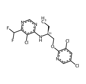 CC[C@@H](COc1ncc(Cl)cc1Cl)Nc1ncnc(C(F)F)c1Cl